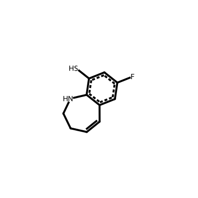 Fc1cc(S)c2c(c1)C=CCCN2